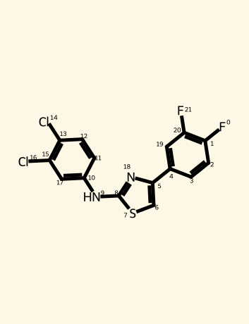 Fc1ccc(-c2csc(Nc3ccc(Cl)c(Cl)c3)n2)cc1F